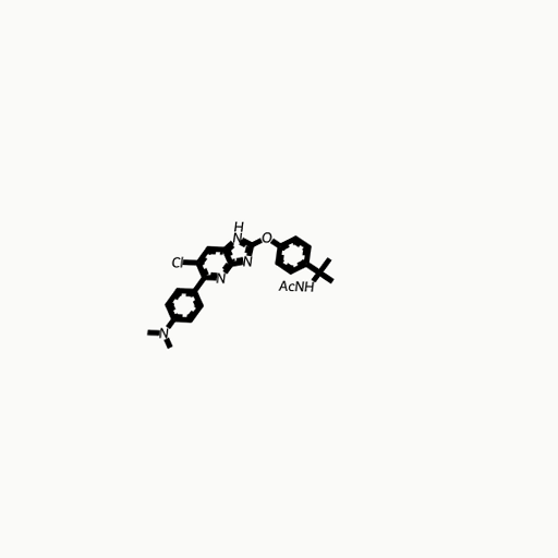 CC(=O)NC(C)(C)c1ccc(Oc2nc3nc(-c4ccc(N(C)C)cc4)c(Cl)cc3[nH]2)cc1